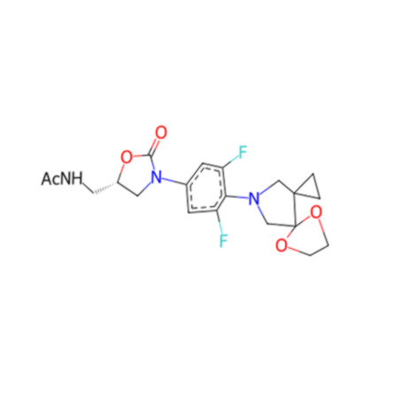 CC(=O)NC[C@H]1CN(c2cc(F)c(N3CC4(CC4)C4(C3)OCCO4)c(F)c2)C(=O)O1